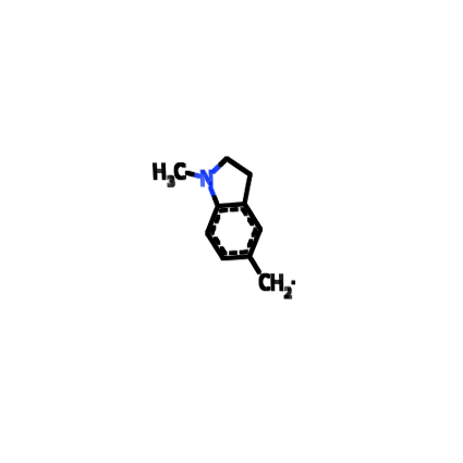 [CH2]c1ccc2c(c1)CCN2C